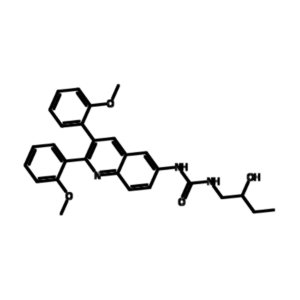 CCC(O)CNC(=O)Nc1ccc2nc(-c3ccccc3OC)c(-c3ccccc3OC)cc2c1